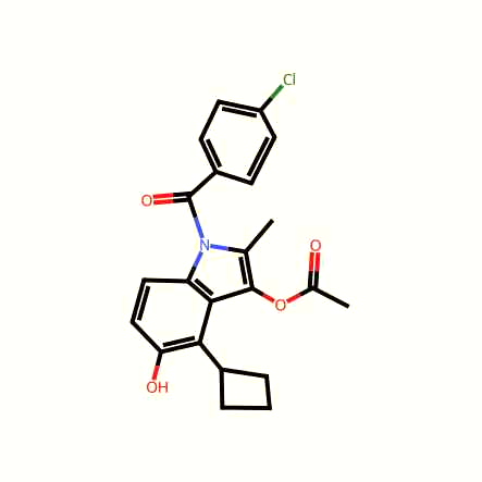 CC(=O)Oc1c(C)n(C(=O)c2ccc(Cl)cc2)c2ccc(O)c(C3CCC3)c12